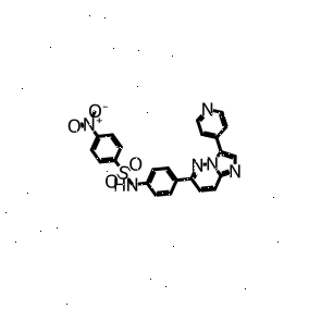 O=[N+]([O-])c1ccc(S(=O)(=O)Nc2ccc(-c3ccc4ncc(-c5ccncc5)n4n3)cc2)cc1